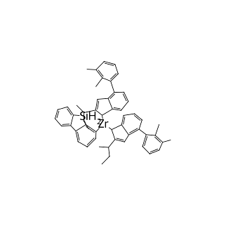 CCC(C)C1=Cc2c(-c3cccc(C)c3C)cccc2[CH]1[Zr]([c]1cccc2c1[SiH2]c1ccccc1-2)[CH]1C(C(C)CC)=Cc2c(-c3cccc(C)c3C)cccc21